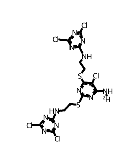 [2H]Nc1nc(SCCNc2nc(Cl)nc(Cl)n2)nc(SCCNc2nc(Cl)nc(Cl)n2)c1Cl